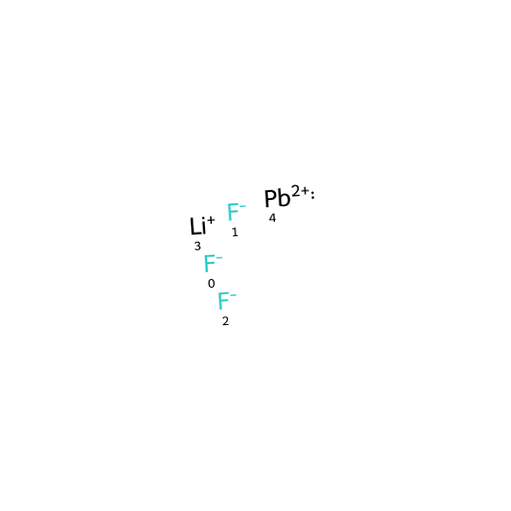 [F-].[F-].[F-].[Li+].[Pb+2]